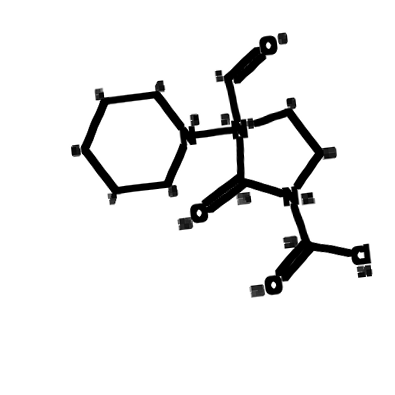 O=C[N+]1(N2CCCCC2)CCN(C(=O)Cl)C1=O